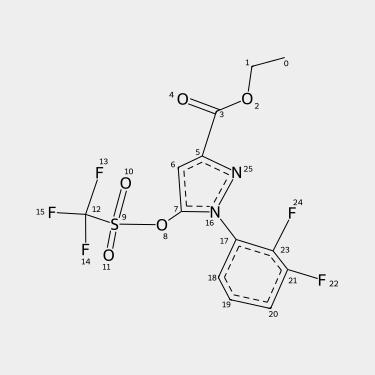 CCOC(=O)c1cc(OS(=O)(=O)C(F)(F)F)n(-c2cccc(F)c2F)n1